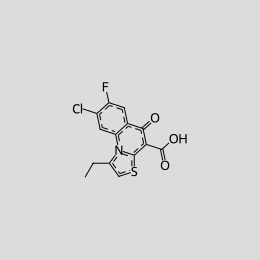 CCc1csc2c(C(=O)O)c(=O)c3cc(F)c(Cl)cc3n12